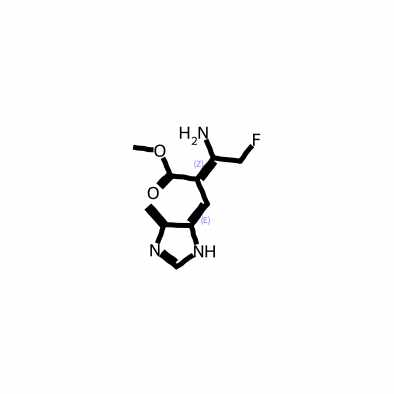 C=c1nc[nH]/c1=C/C(C(=O)OC)=C(/N)CF